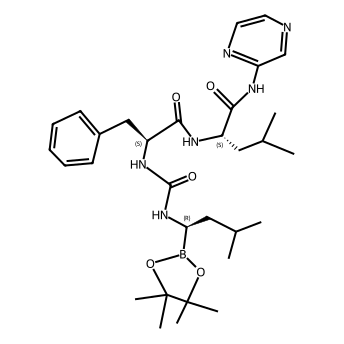 CC(C)C[C@H](NC(=O)N[C@@H](Cc1ccccc1)C(=O)N[C@@H](CC(C)C)C(=O)Nc1cnccn1)B1OC(C)(C)C(C)(C)O1